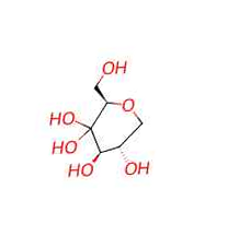 OC[C@H]1OC[C@H](O)[C@@H](O)C1(O)O